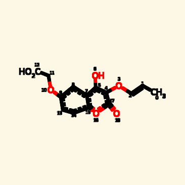 CC=COc1c(O)c2cc(OCC(=O)O)ccc2oc1=O